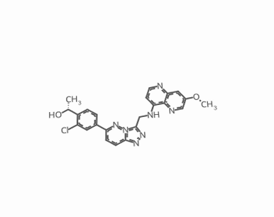 COc1cnc2c(NCc3nnc4ccc(-c5ccc([C@@H](C)O)c(Cl)c5)nn34)ccnc2c1